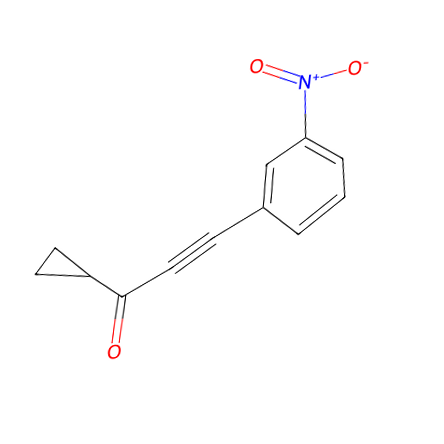 O=C(C#Cc1cccc([N+](=O)[O-])c1)C1CC1